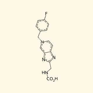 O=C(O)NCc1nc2ccn(Cc3ccc(F)cc3)cc-2n1